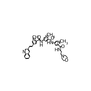 Cn1cc(NC(=O)c2cc(NC(=O)c3cc(C=Cc4cnc5ccccc5c4)cn3C)cn2C)cc1C(=O)NCCN1CCOCC1